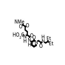 CCC(CC)CNC(=O)Cn1cccc(NC(=O)C(CCC(=O)C(=O)NC)NC(=O)O)c1=O